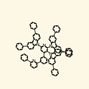 c1ccc(-c2ccc3c(c2)c2cc(-c4ccccc4)ccc2n3-c2cc(-c3cccc(-c4cccc(-c5ccccc5)n4)c3)c(-n3c4ccc(-c5ccccc5)cc4c4cc(-c5ccccc5)ccc43)c(-n3c4ccc(-c5ccccc5)cc4c4cc(-c5ccccc5)ccc43)n2)cc1